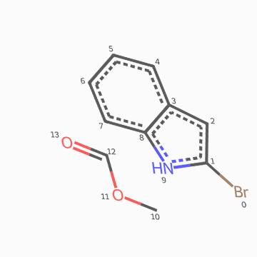 Brc1cc2ccccc2[nH]1.COC=O